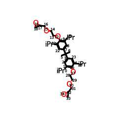 CC(C)c1cc(C(C)(C)c2cc(C(C)C)c(OCCOCC3CO3)c(C(C)C)c2)cc(C(C)C)c1OCCOCC1CO1